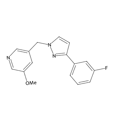 COc1cncc(Cn2ccc(-c3cccc(F)c3)n2)c1